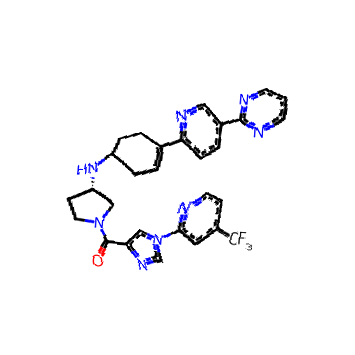 O=C(c1cn(-c2cc(C(F)(F)F)ccn2)cn1)N1CC[C@H](NC2CC=C(c3ccc(-c4ncccn4)cn3)CC2)C1